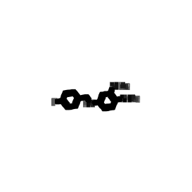 CC(=O)Nc1ccc(NCc2ccc(F)cc2)cc1NC(C)=O